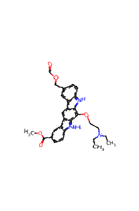 CCN(CC)CCOc1c2[nH]c3ccc(COC=O)cc3c2cc2c1[nH]c1ccc(C(=O)OC)cc12